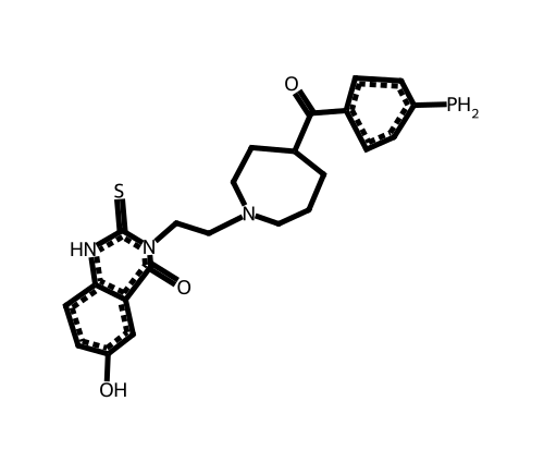 O=C(c1ccc(P)cc1)C1CCCN(CCn2c(=S)[nH]c3ccc(O)cc3c2=O)CC1